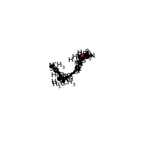 COc1c(C#N)ccc(N(C)C(=S)N(c2cnc(-c3ccc(OCCCCOCC(=O)NC(C(=O)N4CCCC4C(=O)NCc4ccc(-c5scnc5C)cc4)C(C)(C)C)c(F)c3)c(F)c2)C(C)(C)C=O)c1F